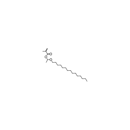 C=C(C)C(=O)OC(C)OCCCCCCCCCCCCCCC